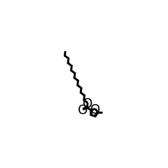 CCCCCCCCCCCCCCOC(=O)c1ccc(C)o1